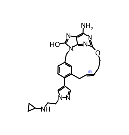 Nc1nc2nc3c1nc(O)n3Cc1ccc(-c3cnn(CCNC4CC4)c3)c(c1)C/C=C/CCO2